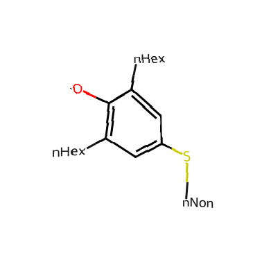 CCCCCCCCCSc1cc(CCCCCC)c([O])c(CCCCCC)c1